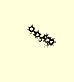 O=C(c1ccc(C2CCCCC2)cc1)c1ccn2c1CNc1ccccc1C2